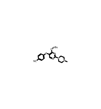 CCCCOc1nc(N2CCN(C)CC2)ncc1Sc1ccc(C#N)cc1